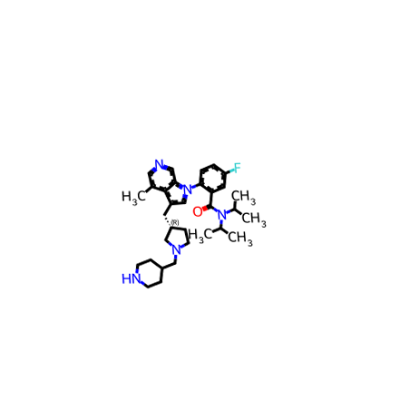 Cc1cncc2c1c(C[C@@H]1CCN(CC3CCNCC3)C1)cn2-c1ccc(F)cc1C(=O)N(C(C)C)C(C)C